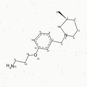 C[C@H]1CCCN(Cc2cccc(OCCCN)c2)C1